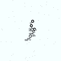 CC(C)(C)OC(=O)N1CC[C@@H](NC(=O)C2Sc3nccc4c3C2NC(=O)N4c2ccc(Oc3ccccc3)cc2)[C@H](O)C1